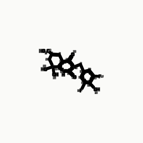 O=C(O)C1=Cc2c([nH]c(=O)n(Cc3cc(F)c(O)c(F)c3)c2=O)S(O)(O)C1